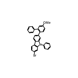 COc1ccc(-c2ccc3c4ccc(Br)cc4n(-c4ccccc4)c3c2)c(-c2ccccc2)c1